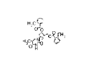 Cc1ccccc1C(=O)OC[C@H]1S[C@@H](n2cc(C)c(=O)[nH]c2=O)C[C@@H]1OC(=O)c1ccccc1C